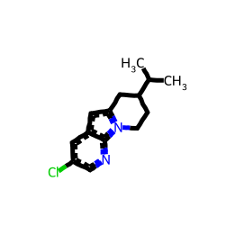 CC(C)C1CCn2c(cc3cc(Cl)cnc32)C1